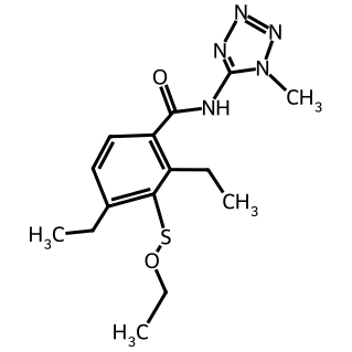 CCOSc1c(CC)ccc(C(=O)Nc2nnnn2C)c1CC